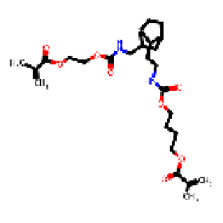 C=C(C)C(=O)OCCCCOC(=O)NCCC1C2CCC1C(CNC(=O)OCCOC(=O)C(=C)C)C2